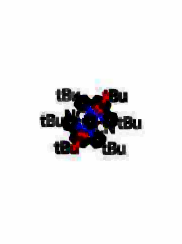 CC(C)(C)c1ccc2c(c1)c1cc(C(C)(C)C)ccc1n2-c1c(C#N)c(-n2c3ccc(C(C)(C)C)cc3c3cc(C(C)(C)C)ccc32)c(-n2c3ccc(C(C)(C)C)cc3c3cc(C(C)(C)C)ccc32)c(C#N)c1-n1c2ccc(C(C)(C)C)cc2c2cc(C(C)(C)C)ccc21